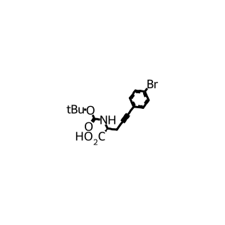 CC(C)(C)OC(=O)N[C@@H](CC#Cc1ccc(Br)cc1)C(=O)O